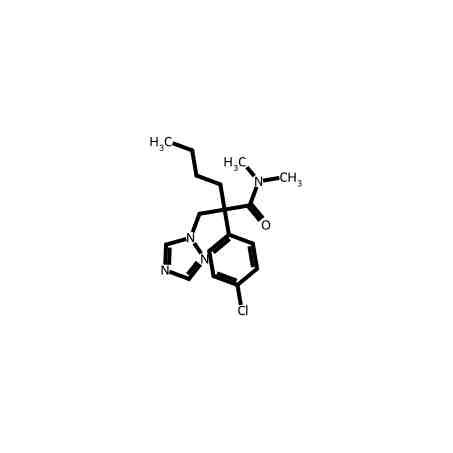 CCCCC(Cn1cncn1)(C(=O)N(C)C)c1ccc(Cl)cc1